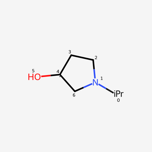 CC(C)N1CC[C](O)C1